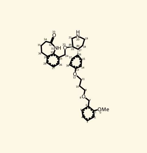 COc1ccccc1COCCCOc1ccc([C@H]2CCNC[C@@H]2OCc2cccc3c2NC(=O)CCC3)cc1